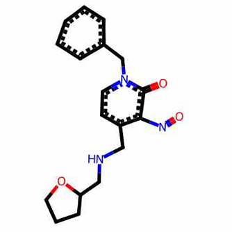 O=Nc1c(CNCC2CCCO2)ccn(Cc2ccccc2)c1=O